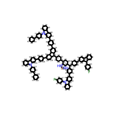 Fc1ccc(C2c3ccccc3-c3ccc(C4=CCC(C(c5ccc(-c6ccc7c8ccccc8n(-c8ccc(F)cc8)c7c6)cc5)C5CCC(C6CCC(C7C8C=CC(c9ccc(-c%10ccc%11c%12ccccc%12n(-c%12ccc(-c%13ccccc%13)cc%12)c%11c%10)cc9)=CC8C8C=C(c9ccc(-c%10ccc%11c%12ccccc%12n(-c%12ccc(-c%13ccccc%13)cc%12)c%11c%10)cc9)C=CC87)CC6)C6NSNC56)C=C4)cc32)cc1